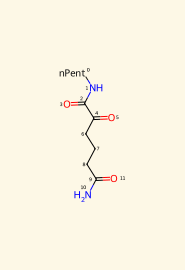 CCCCCNC(=O)C(=O)CCCC(N)=O